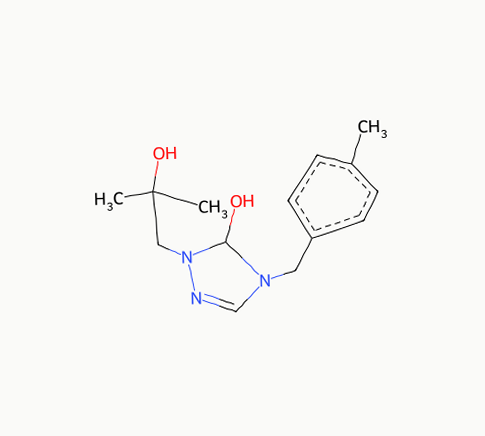 Cc1ccc(CN2C=NN(CC(C)(C)O)C2O)cc1